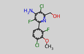 COc1c(Cl)ccc(-c2nc(CO)c(Cl)c(N)c2F)c1F